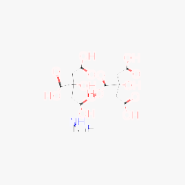 N.O=C(O)CC(O)(CC(=O)O)C(=O)O.O=C(O)CC(O)(CC(=O)O)C(=O)O.[NaH]